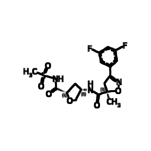 C[C@]1(C(=O)N[C@@H]2CO[C@H](C(=O)NS(C)(=O)=O)C2)CC(c2cc(F)cc(F)c2)=NO1